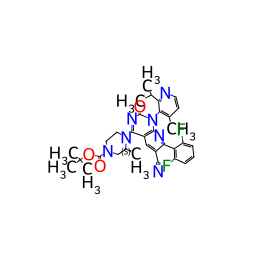 Cc1ccnc(C(C)C)c1-n1c(=O)nc(N2CCN(C(=O)OC(C)(C)C)C[C@@H]2C)c2cc(C#N)c(-c3c(F)cccc3F)nc21